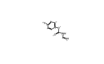 N=[C]NC(=O)Oc1ccc(F)cc1